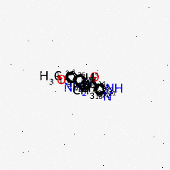 COc1ccc2c(c1N)[C@]1(C)CCN(C(=O)c3ccc4nc[nH]c4c3)[C@H](C2)[C@H]1C